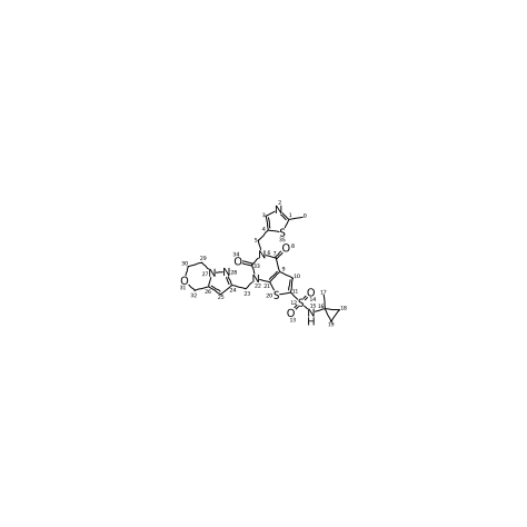 Cc1ncc(Cn2c(=O)c3cc(S(=O)(=O)NC4(C)CC4)sc3n(Cc3cc4n(n3)CCOC4)c2=O)s1